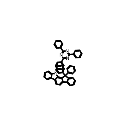 c1ccc(-c2nc(-c3ccccc3)nc(-c3ccc(-n4c5ccccc5c5ccc6c(c54)C(c4ccccc4)(c4ccccc4)c4ccccc4-6)cc3)n2)cc1